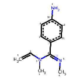 C=CN(C)/C(=N\C)c1ccc(N)cc1